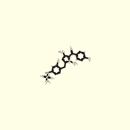 Cc1cc(Cc2ccc(NS(C)(=O)=O)cc2Cl)n(C)c1C(=O)c1ccc(Cl)cc1